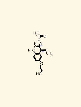 C/C=C(/C(C)=N/OC(C)=O)c1cc(OCCO)ccc1C